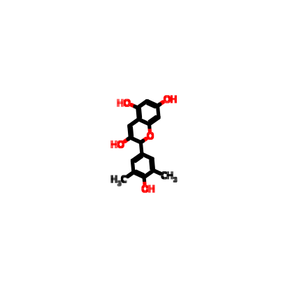 Cc1cc(C2Oc3cc(O)cc(O)c3C=C2O)cc(C)c1O